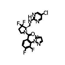 O=C(c1ccc(F)c(F)c1-n1nccn1)N1CCC(F)(F)[C@H]1CNc1ncc(Cl)cn1